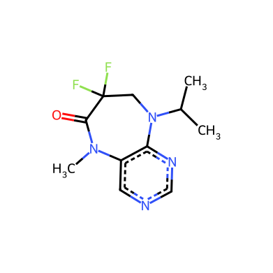 CC(C)N1CC(F)(F)C(=O)N(C)c2cncnc21